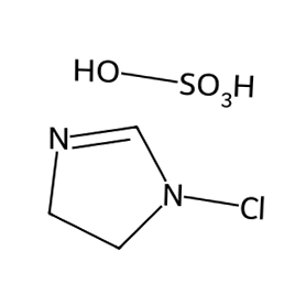 ClN1C=NCC1.O=S(=O)(O)O